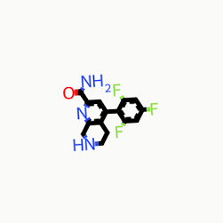 NC(=O)c1cc(-c2c(F)cc(F)cc2F)c2c(n1)CNCC2